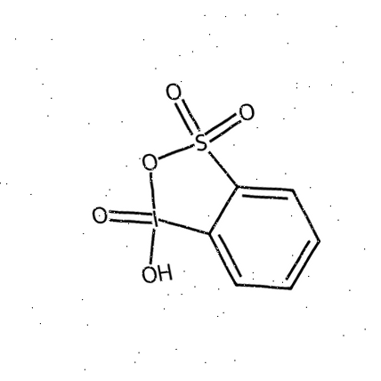 O=S1(=O)OI(=O)(O)c2ccccc21